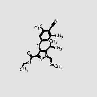 CCOC(=O)c1nn(CSC)c(C(C)C)c1Oc1cc(C)c(C#N)c(C)c1